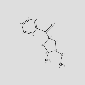 CSC1CN(C(=O)c2ccccc2)CC1N